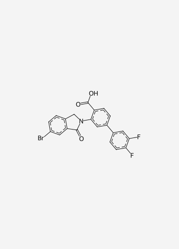 O=C(O)c1ccc(-c2ccc(F)c(F)c2)cc1N1Cc2ccc(Br)cc2C1=O